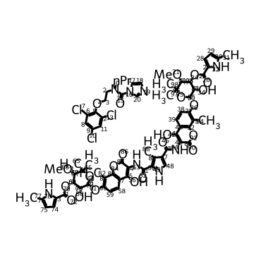 CCCN(CCOc1c(Cl)cc(Cl)cc1Cl)C(=O)n1ccnc1.CO[C@@H]1[C@@H](OC(=O)c2ccc(C)[nH]2)[C@@H](O)[C@H](Oc2ccc3c(O)c(NC(=O)c4c[nH]c(C(=O)Nc5c(O)c6ccc(O[C@@H]7OC(C)(C)[C@H](OC)[C@@H](OC(=O)c8ccc(C)[nH]8)[C@H]7O)c(C)c6oc5=O)c4C)c(=O)oc3c2C)OC1(C)C